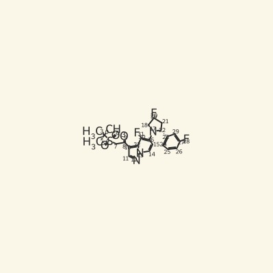 CC(C)(C)S(=O)(=O)CC(=O)c1cnn2ccc(N3C[C@@H](F)C[C@@H]3c3cccc(F)c3)c(F)c12